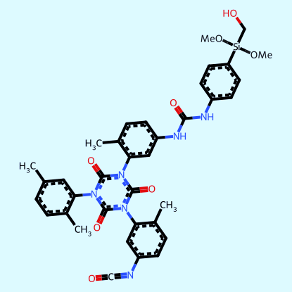 CO[Si](CO)(OC)c1ccc(NC(=O)Nc2ccc(C)c(-n3c(=O)n(-c4cc(C)ccc4C)c(=O)n(-c4cc(N=C=O)ccc4C)c3=O)c2)cc1